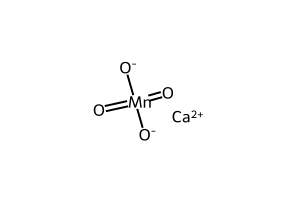 [Ca+2].[O]=[Mn](=[O])([O-])[O-]